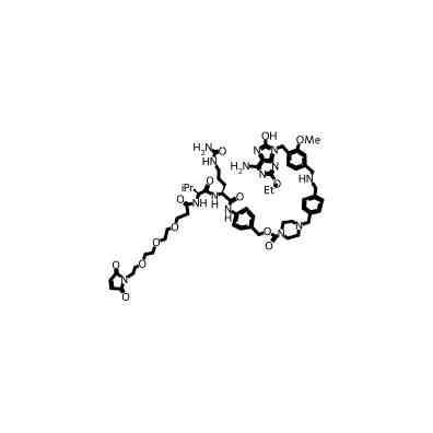 CCOc1nc(N)c2nc(O)n(Cc3ccc(CNCc4ccc(CN5CCN(C(=O)OCc6ccc(NC(=O)[C@H](CCCNC(N)=O)NC(=O)[C@@H](NC(=O)CCOCCOCCOCCN7C(=O)C=CC7=O)C(C)C)cc6)CC5)cc4)cc3OC)c2n1